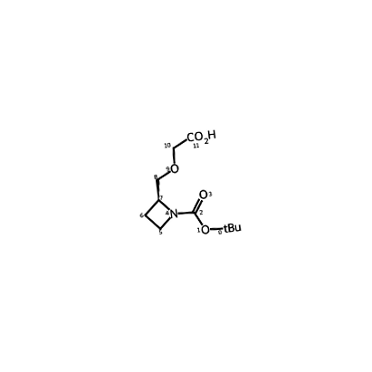 CC(C)(C)OC(=O)N1CC[C@H]1COCC(=O)O